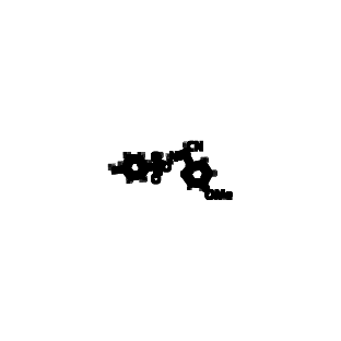 COc1ccc(/C(C#N)=N\OS(=O)(=O)c2ccc(C)cc2)cc1